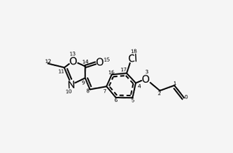 C=CCOc1ccc(C=C2N=C(C)OC2=O)cc1Cl